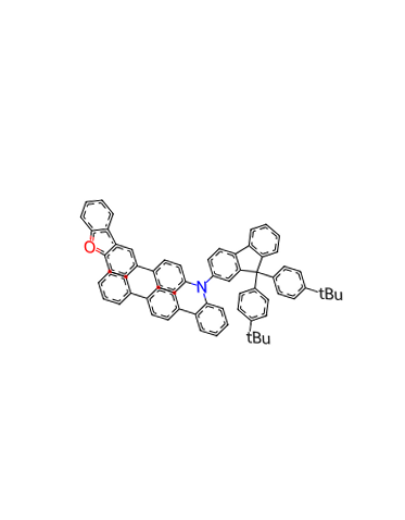 CC(C)(C)c1ccc(C2(c3ccc(C(C)(C)C)cc3)c3ccccc3-c3ccc(N(c4ccc(-c5ccc6oc7ccccc7c6c5)cc4)c4ccccc4-c4ccc(-c5ccccc5)cc4)cc32)cc1